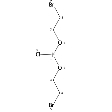 ClP(OCCBr)OCCBr